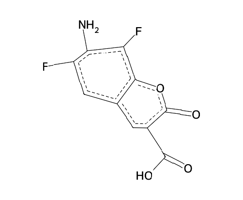 Nc1c(F)cc2cc(C(=O)O)c(=O)oc2c1F